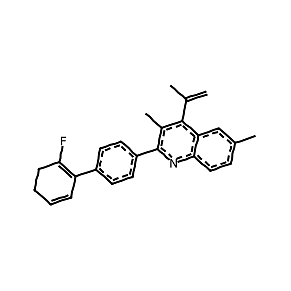 C=C(C)c1c(C)c(-c2ccc(C3=C(F)CCC=C3)cc2)nc2ccc(C)cc12